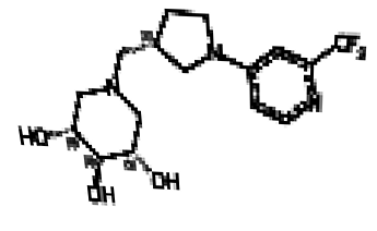 O[C@H]1[C@H](O)CN(C[C@@H]2CCN(c3ccnc(C(F)(F)F)c3)C2)C[C@@H]1O